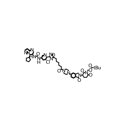 CC(C)(C)C(=O)OCN1C(=O)CCC(N2Cc3cc(N4CCN(C(=O)CCCCCc5nc(-c6ncc(NC(=O)Nc7cnc8ccnn8c7C7CCCC7)cc6Cl)no5)CC4)ccc3C2=O)C1=O